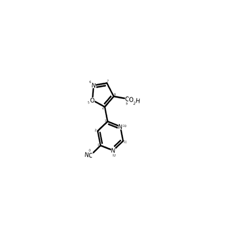 N#Cc1cc(-c2oncc2C(=O)O)ncn1